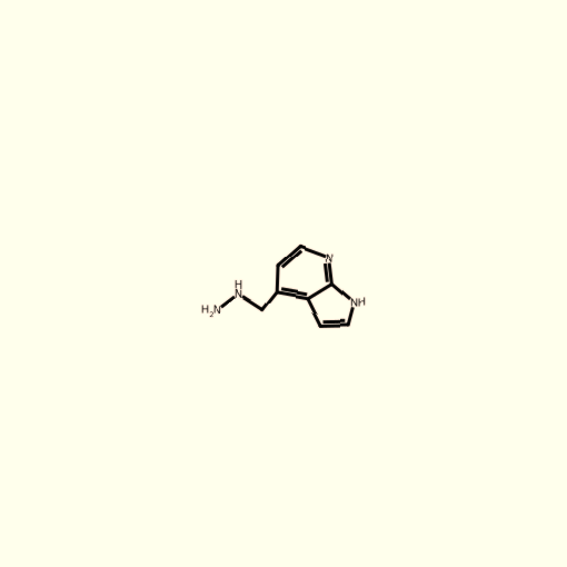 NNCc1ccnc2[nH]ccc12